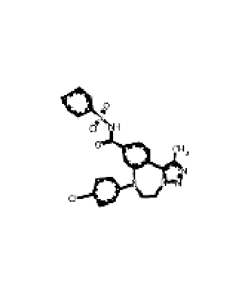 Cc1nnn2c1-c1ccc(C(=O)NS(=O)(=O)c3ccccc3)cc1N(c1ccc(Cl)cc1)CC2